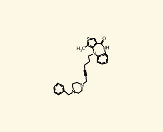 Cc1scc2c1N(CCCC#CCN1CCN(Cc3ccccc3)CC1)c1ccccc1NC2=O